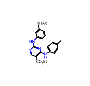 CCOC(=O)c1cnc(Nc2cccc(NC(C)=O)c2)nc1Nc1ccc(C)cc1